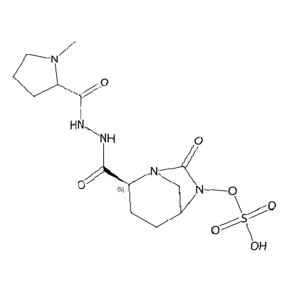 CN1CCCC1C(=O)NNC(=O)[C@@H]1CCC2CN1C(=O)N2OS(=O)(=O)O